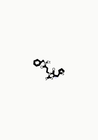 CCN(Cc1ccccc1)C(=O)CCN1C(=O)/C(=C\c2cccs2)SC1=S